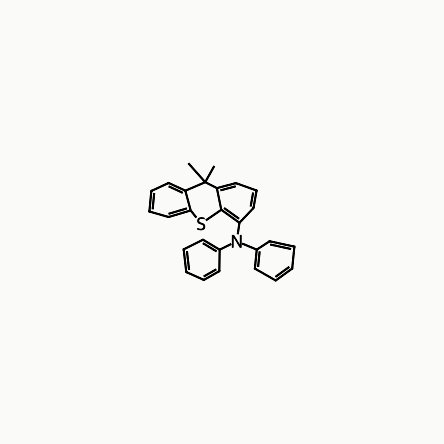 CC1(C)c2ccccc2Sc2c(N(c3ccccc3)c3ccccc3)cccc21